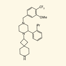 COc1cc(CN2CCN(C3CC4(CCNCC4)C3)C(c3ccccc3C(C)C)C2)ccc1C(F)(F)F